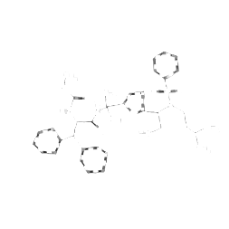 COC(=O)N[C@H](C(=O)NC(C)(C)c1ccc(C(CO)N(CCC(C)C)S(=O)(=O)c2ccccc2)s1)C(c1ccccc1)c1ccccc1